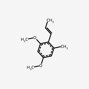 C/C=C/c1c(C)cc(OC)cc1OC